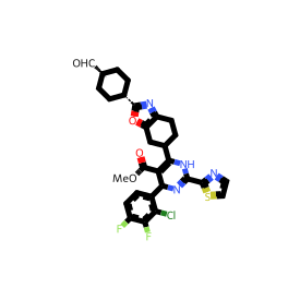 COC(=O)C1=C(C2CCc3nc([C@H]4CC[C@H](C=O)CC4)oc3C2)NC(c2nccs2)=NC1c1ccc(F)c(F)c1Cl